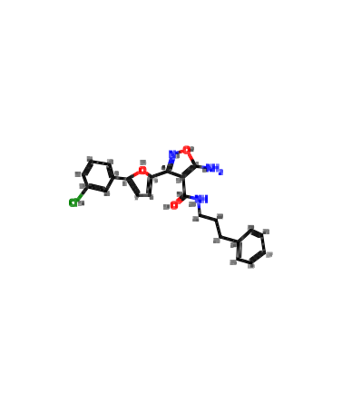 Nc1onc(-c2ccc(-c3cccc(Cl)c3)o2)c1C(=O)NCCCc1ccccc1